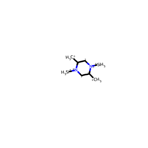 CC1CN([SiH3])C(C)CN1[SiH3]